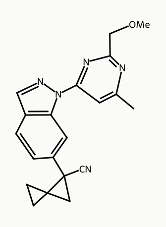 COCc1nc(C)cc(-n2ncc3ccc(C4(C#N)CC45CC5)cc32)n1